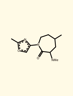 CNC1CC(C)CCN(c2coc(C)n2)C1=O